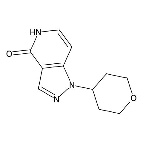 O=c1[nH]ccc2c1cnn2C1CCOCC1